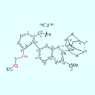 CCOCOc1cccc(C(=O)O)c1-c1ccc2cc(OC)c(C34CC5CC(CC(C5)C3)C4)cc2c1.Cl